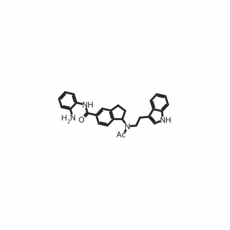 CC(=O)N(CCc1c[nH]c2ccccc12)C1CCc2cc(C(=O)Nc3ccccc3N)ccc21